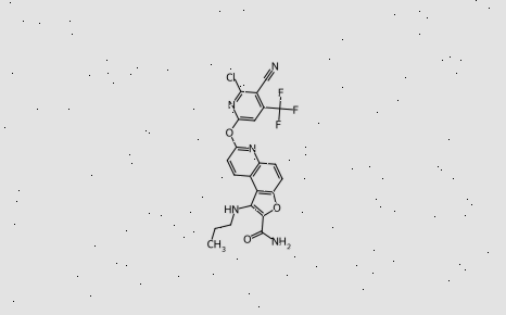 CCCNc1c(C(N)=O)oc2ccc3nc(Oc4cc(C(F)(F)F)c(C#N)c(Cl)n4)ccc3c12